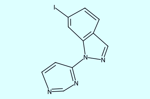 Ic1ccc2cnn(-c3ccncn3)c2c1